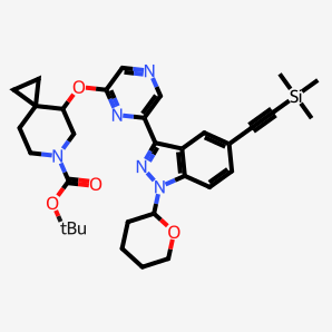 CC(C)(C)OC(=O)N1CCC2(CC2)C(Oc2cncc(-c3nn(C4CCCCO4)c4ccc(C#C[Si](C)(C)C)cc34)n2)C1